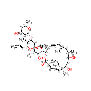 C/C=C/[C@H]1O[C@@](O)([C@@H](C)[C@H](O)[C@H](C)[C@H]2OC(=O)/C(OC)=C/C(C)=C/[C@@H](C)[C@@H](O)C[C@@H](O)[C@H](C)C/C(C)=C/C=C/[C@@H]2OC)C[C@@H](O[C@@H]2C[C@H](O)C[C@H](C)O2)[C@@H]1C